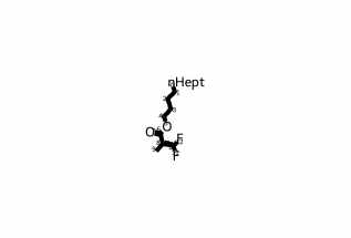 CCCCCCCCCCCOC(=O)C(C)=C(F)F